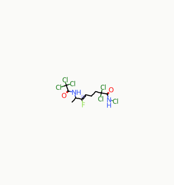 CC(NC(=O)C(Cl)(Cl)Cl)/C(F)=C/CCC(Cl)(Cl)C(=O)NCl